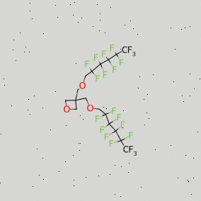 FC(F)(F)C(F)(F)C(F)(F)C(F)(F)C(F)(F)COCC1(COCC(F)(F)C(F)(F)C(F)(F)C(F)(F)C(F)(F)F)COC1